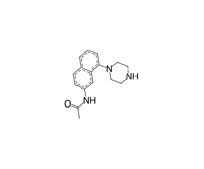 CC(=O)Nc1ccc2cccc(N3CCNCC3)c2c1